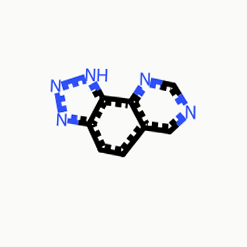 c1ncc2ccc3nn[nH]c3c2n1